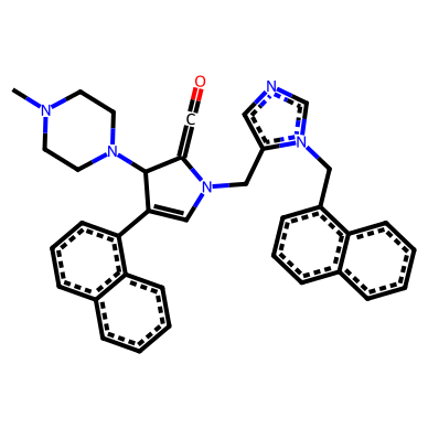 CN1CCN(C2C(=C=O)N(Cc3cncn3Cc3cccc4ccccc34)C=C2c2cccc3ccccc23)CC1